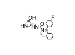 O=C(NC[C@H]1CNC[C@H]1O)N1CCc2ccccc2[C@@H]1c1ccc(F)cc1